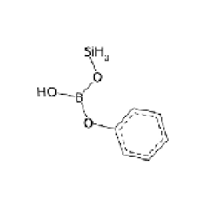 OB(O[SiH3])Oc1ccccc1